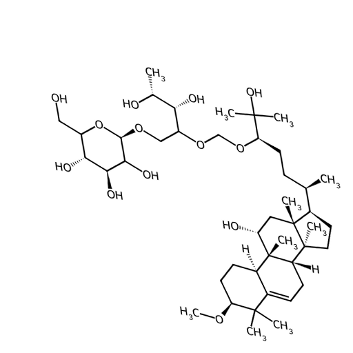 CO[C@H]1CC[C@@H]2C(=CC[C@@H]3[C@@]2(C)[C@H](O)C[C@]2(C)[C@@H]([C@H](C)CC[C@@H](OCOC(CO[C@@H]4OC(CO)[C@@H](O)[C@H](O)C4O)[C@@H](O)[C@@H](C)O)C(C)(C)O)CC[C@@]32C)C1(C)C